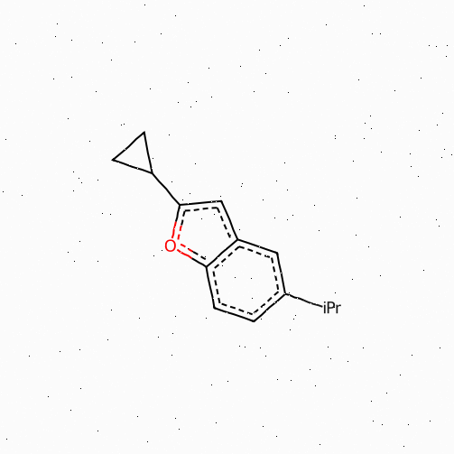 CC(C)c1ccc2oc(C3CC3)cc2c1